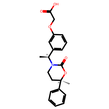 C[C@@H](c1cccc(OCC(=O)O)c1)N1CC[C@](C)(c2ccccc2)OC1=O